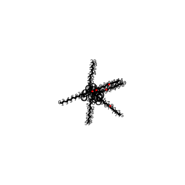 CCCCCCCCCCCC(=O)OC[C@H](OC(=O)CCCCCCCCCCC)[C@@H](OC(=O)CCCCCCCCCCC)[C@H](OC(=O)CCCCCCCCCCC)[C@@H](COC(=O)CCCCCCCCCCC)OC(=O)CCCCCCCCCCC